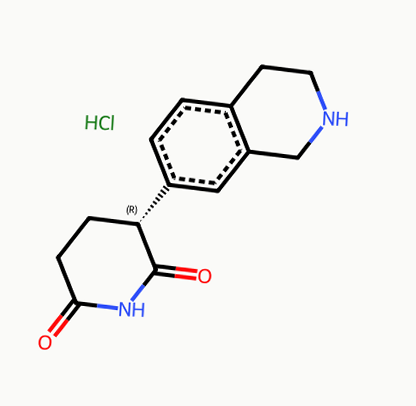 Cl.O=C1CC[C@H](c2ccc3c(c2)CNCC3)C(=O)N1